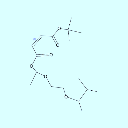 CC(OCCOC(C)C(C)C)OC(=O)/C=C\C(=O)OC(C)(C)C